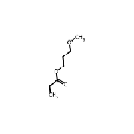 CCC(=O)OCCCOC